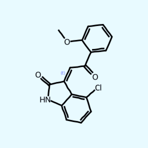 COc1ccccc1C(=O)/C=C1/C(=O)Nc2cccc(Cl)c21